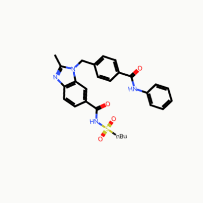 CCCCS(=O)(=O)NC(=O)c1ccc2nc(C)n(Cc3ccc(C(=O)Nc4ccccc4)cc3)c2c1